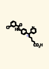 O=C(O)CCC/C=C(/c1ccc(NC(=O)c2cccc(Cl)c2)cc1)c1cccnc1